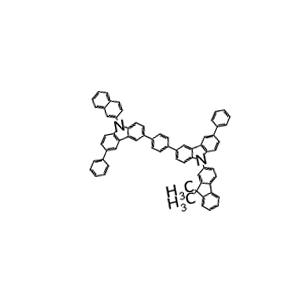 CC1(C)c2ccccc2-c2ccc(-n3c4ccc(-c5ccccc5)cc4c4cc(-c5ccc(-c6ccc7c(c6)c6cc(-c8ccccc8)ccc6n7-c6ccc7ccccc7c6)cc5)ccc43)cc21